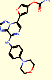 NC(=O)Oc1coc(-c2cnc(Nc3ccc(N4CCOCC4)cc3)c3ncnn23)c1